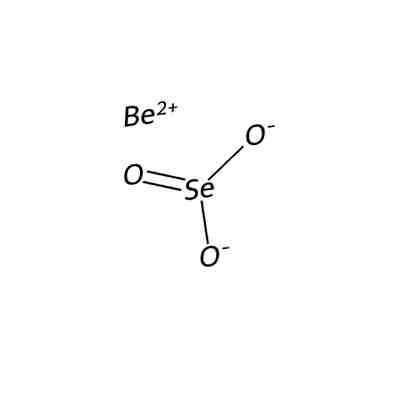 O=[Se]([O-])[O-].[Be+2]